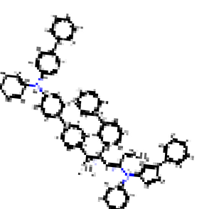 C=C/C(=C\C(=C(/C)c1ccc(-c2ccc(N(C3=CCCC=C3)c3ccc(-c4ccccc4)cc3)cc2)cc1)c1cccc(-c2ccccc2)c1)N(C1=C=C(c2ccccc2)C=C1)c1ccccc1